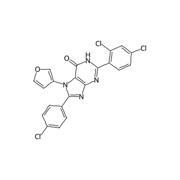 O=c1[nH]c(-c2ccc(Cl)cc2Cl)nc2nc(-c3ccc(Cl)cc3)n(-c3ccoc3)c12